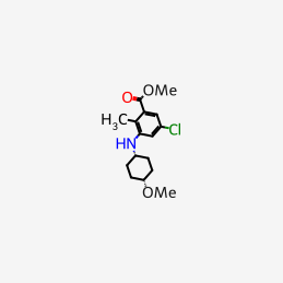 COC(=O)c1cc(Cl)cc(N[C@H]2CC[C@@H](OC)CC2)c1C